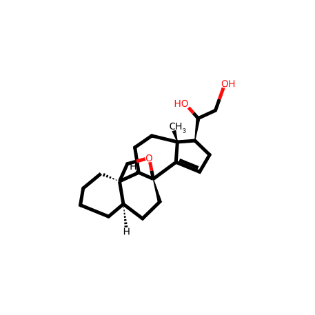 C[C@]12CC[C@@H]3[C@@]45CCCC[C@@H]4CC[C@@]3(OC5)C1=CC[C@@H]2C(O)CO